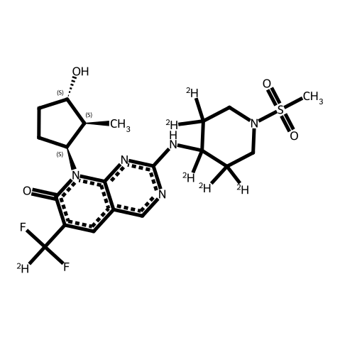 [2H]C(F)(F)c1cc2cnc(NC3([2H])C([2H])([2H])CN(S(C)(=O)=O)CC3([2H])[2H])nc2n([C@H]2CC[C@H](O)[C@H]2C)c1=O